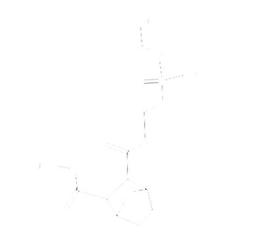 CCOP(C)(=O)OCOC(=O)C1C2CCC(O2)C1C(=O)OC